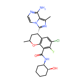 Cc1nc([C@H]2CC(C)Oc3c2cc(Cl)c(F)c3C(=O)N[C@@H]2CCCC[C@@H]2O)n2ccnc(N)c12